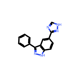 [c]1ccc(-c2n[nH]c3ccc(-c4nc[nH]n4)cc23)cc1